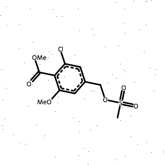 COC(=O)c1c(Cl)cc(COS(C)(=O)=O)cc1OC